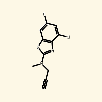 C#CCN(C)c1nc2c(Cl)cc(F)[c]c2s1